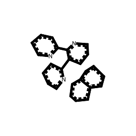 c1ccc(-c2cccnc2-c2ccccn2)nc1.c1ccc2ccccc2c1